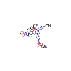 CCc1cc2c(N3CCC4(CC3)CN(C(=O)OC(C)(C)C)C4)nc(C3CN(CCC#N)C3)nc2c(OCC(F)(F)F)c1-c1c(C)ccc2c1cnn2C1CCCCO1